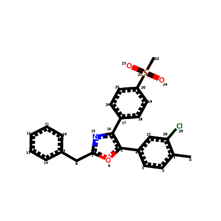 Cc1ccc(-c2oc(Cc3ccccc3)nc2-c2ccc(S(C)(=O)=O)cc2)cc1Cl